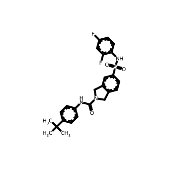 CC(C)(C)c1ccc(NC(=O)N2Cc3ccc(S(=O)(=O)Nc4ccc(F)cc4F)cc3C2)cc1